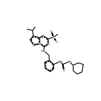 CC(C)c1cnn2c(NCc3ccccc3NC(=O)NC3CCCCC3)nc(S(C)(=O)=O)nc12